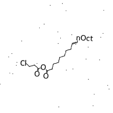 CCCCCCCCC=CCCCCCCCC(=O)OC(=O)CCCl